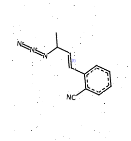 CC(/C=C/c1ccccc1C#N)N=[N+]=[N-]